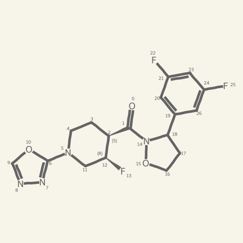 O=C([C@@H]1CCN(c2nnco2)C[C@@H]1F)N1OCCC1c1cc(F)cc(F)c1